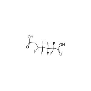 O=C(O)CC(F)C(F)(F)C(F)(F)C(F)(F)C(=O)O